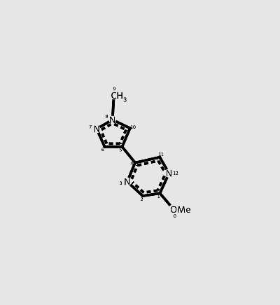 COc1cnc(-c2cnn(C)c2)cn1